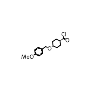 COc1ccc(CO[C@H]2CC[C@H](C(=O)Cl)CC2)cc1